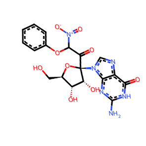 Nc1nc2c(ncn2[C@]2(C(=O)C(Oc3ccccc3)[N+](=O)[O-])O[C@H](CO)[C@@H](O)[C@H]2O)c(=O)[nH]1